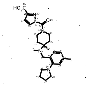 Cc1ccc(CN(C)C2(C)CCN(C(=O)n3ccc(C(=O)O)n3)CC2)c(N2CCCC2)c1